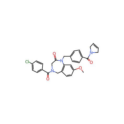 COc1ccc2c(c1)N(Cc1ccc(C(=O)N3CC=CC3)cc1)C(=O)CN(C(=O)c1ccc(Cl)cc1)C2